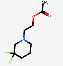 CC(=O)OCCN1CCCC(F)(F)C1